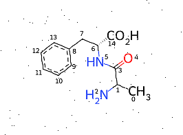 CC(N)C(=O)N[C@H](Cc1ccccc1)C(=O)O